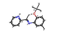 CC(=Nc1cc(C)ccc1O[Si](C)(C)C)c1ccccn1